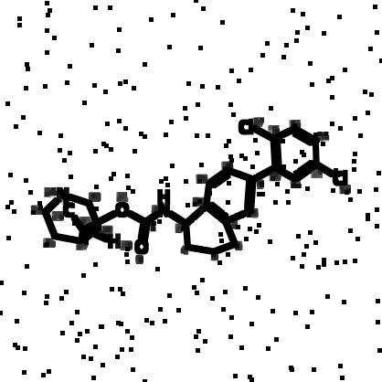 O=C(NC1CCCc2cc(-c3cc(Cl)ccc3Cl)ccc21)O[C@H]1CN2CCC1CC2